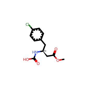 COC(=O)C[C@H](Cc1ccc(Cl)cc1)NC(=O)O